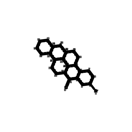 O=c1c2cc(Br)ccc2c2ccc3sc4ccccc4c4ccc1c2c34